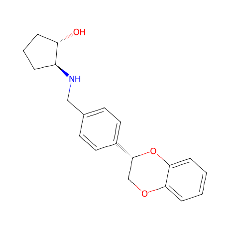 O[C@H]1CCC[C@@H]1NCc1ccc([C@H]2COc3ccccc3O2)cc1